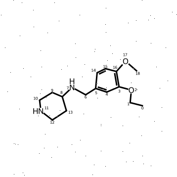 CCOc1cc(CNC2CCNCC2)ccc1OC